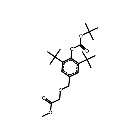 COC(=O)CSCc1cc(C(C)(C)C)c(OC(=O)OC(C)(C)C)c(C(C)(C)C)c1